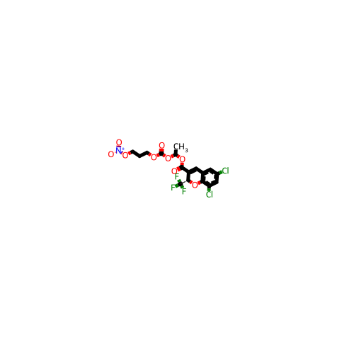 CC(OC(=O)OCCCO[N+](=O)[O-])OC(=O)C1=Cc2cc(Cl)cc(Cl)c2O[C@@H]1C(F)(F)F